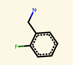 [N]Cc1ccccc1F